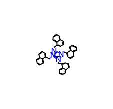 c1ccc2c(CN3C4CC5N(Cc6cccc7ccccc67)C3CC(N4Cc3cccc4ccccc34)N5Cc3cccc4ccccc34)cccc2c1